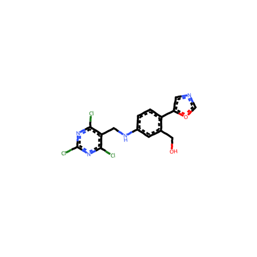 OCc1cc(NCc2c(Cl)nc(Cl)nc2Cl)ccc1-c1cnco1